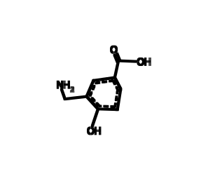 NCc1cc(C(=O)O)ccc1O